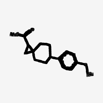 CCCCOc1ccc(C2CCC3(CC2)CC3C(=O)OC)cc1